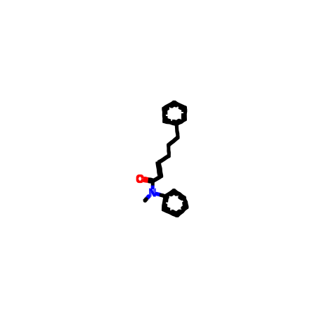 CN(C(=O)C=CCCCc1ccccc1)c1ccccc1